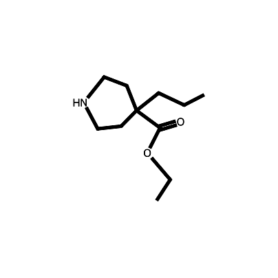 CCCC1(C(=O)OCC)CCNCC1